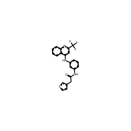 O=C(Cc1ccsc1)Nc1cccc(Nc2cc(C(F)(F)F)nc3ccccc23)c1